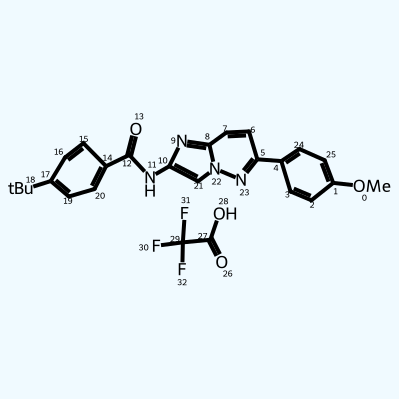 COc1ccc(-c2ccc3nc(NC(=O)c4ccc(C(C)(C)C)cc4)cn3n2)cc1.O=C(O)C(F)(F)F